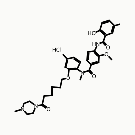 COc1cc(C(=O)N(C)c2ccc(C)cc2OCCCCCC(=O)N2CCN(C)CC2)ccc1NC(=O)c1cc(C)ccc1O.Cl